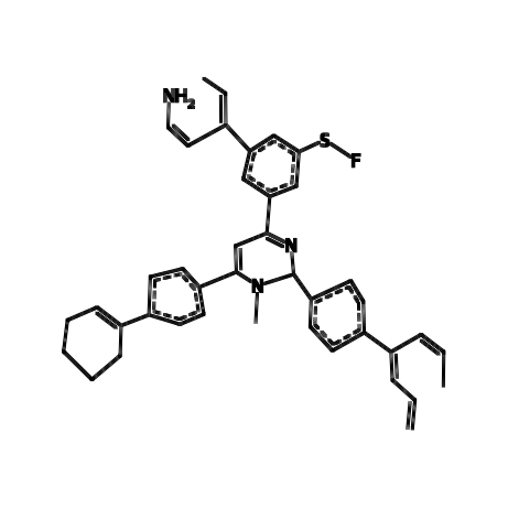 C=C/C=C(\C=C/C)c1ccc(C2N=C(c3cc(SF)cc(C(/C=C\N)=C/C)c3)C=C(c3ccc(C4=CCCCC4)cc3)N2C)cc1